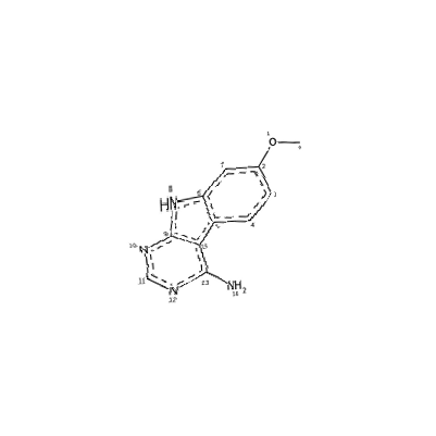 COc1ccc2c(c1)[nH]c1ncnc(N)c12